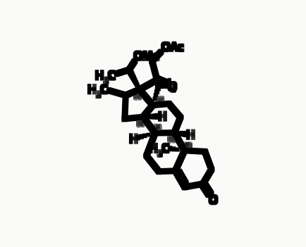 COC(C)[C@]1(C(=O)COC(C)=O)C(C)C[C@H]2[C@@H]3CCC4=CC(=O)CC[C@]4(C)[C@H]3CC[C@@]21C